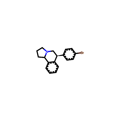 Brc1ccc([C@@H]2CN3CCCC3c3ccccc32)cc1